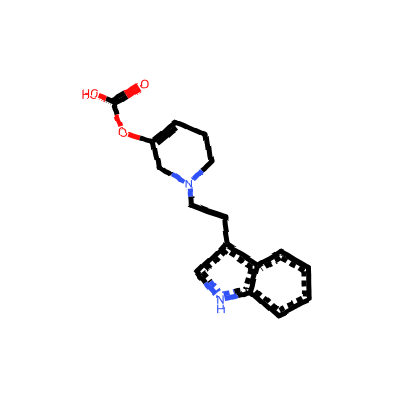 O=C(O)OC1=CCCN(CCc2c[nH]c3ccccc23)C1